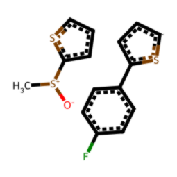 C[S+]([O-])c1cc[c]s1.Fc1ccc(-c2cc[c]s2)cc1